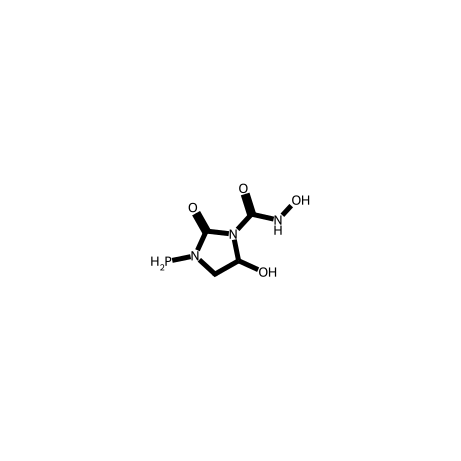 O=C(NO)N1C(=O)N(P)CC1O